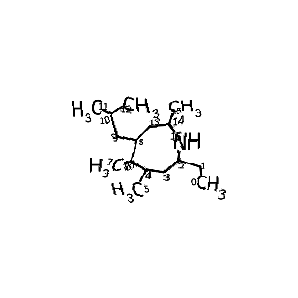 CCC1CC(C)[C@@H](C)C(CC(C)C)CC(C)N1